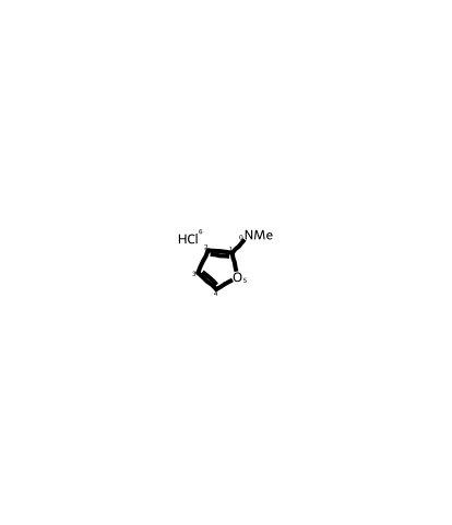 CNc1ccco1.Cl